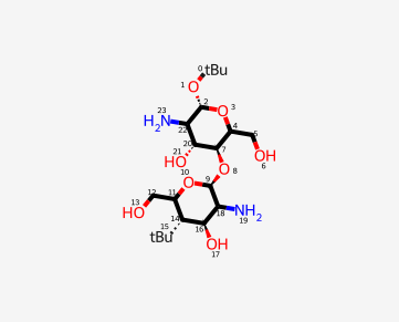 CC(C)(C)O[C@@H]1OC(CO)[C@@H](O[C@@H]2OC(CO)[C@@H](C(C)(C)C)[C@H](O)C2N)[C@H](O)C1N